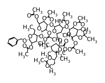 CCC1O[C@@H](OCc2ccccc2)C(OC(C)=O)[C@@H](C)[C@@H]1O[C@@H]1OC(COC(C)=O)[C@H](OC(C)=O)[C@H](O[C@@H]2OC(CO[C@]3(C(=O)OC)C[C@@H](C)[C@@H](C)C([C@H](C)[C@@H](CC)OC(C)=O)O3)[C@@H](C)[C@H](O[C@@H]3OC(COC(C)=O)[C@H](OC(C)=O)[C@H](C)C3OC(C)=O)C2NC(C)=O)C1OC(C)=O